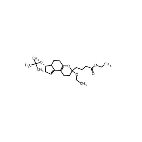 CCOC(=O)CCCC1(OCC)CCC2=C(CCC3C2=CC[C@@H]3OC(C)(C)C)O1